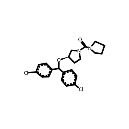 O=C(N1CCCC1)N1CC[C@@H](OC(c2ccc(Cl)cc2)c2ccc(Cl)cc2)C1